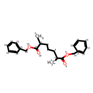 CC(CCCC(C)C(=O)OCc1ccccc1)C(=O)OCc1ccccc1